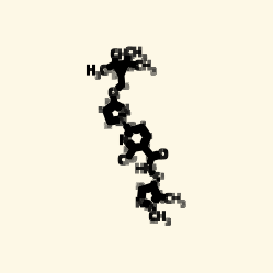 Cc1c(SNC(=O)c2ccc(-n3ccc(OCC4C(C)(C)C4(C)C)n3)nc2Cl)cnn1C